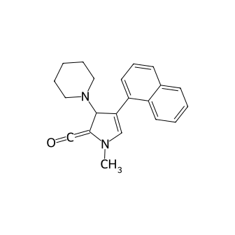 CN1C=C(c2cccc3ccccc23)C(N2CCCCC2)C1=C=O